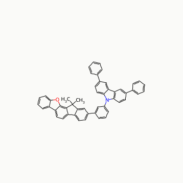 CC1(C)c2cc(-c3cccc(-n4c5ccc(-c6ccccc6)cc5c5cc(-c6ccccc6)ccc54)c3)ccc2-c2ccc3c(oc4ccccc43)c21